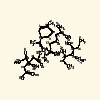 C=C(C)C1CC=C(C)CC1.CC(O)COCC(C)O.CCC(O)OC(O)CC.O=C([O-])CC(O)(CC(=O)[O-])C(=O)O.[Na+].[Na+]